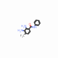 Nc1c(C(=O)Nc2ccccc2)ccc(C(F)(F)F)c1N